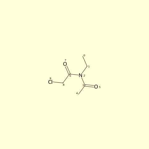 CCN(C(C)=O)C(=O)CCl